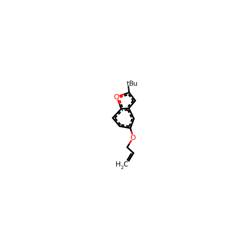 C=CCOc1ccc2oc(C(C)(C)C)cc2c1